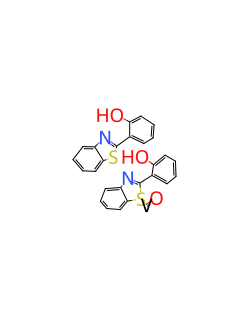 Oc1ccccc1-c1nc2ccccc2s1.Oc1ccccc1-c1nc2ccccc2s1.[O]=[V]